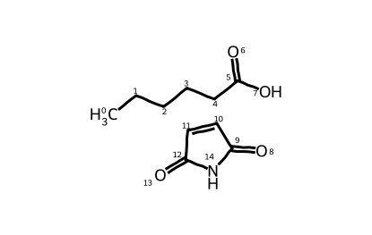 CCCCCC(=O)O.O=C1C=CC(=O)N1